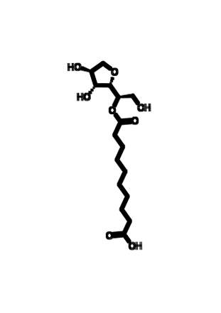 O=C(O)CCCCCCCCC(=O)O[C@H](CO)[C@H]1OC[C@H](O)[C@H]1O